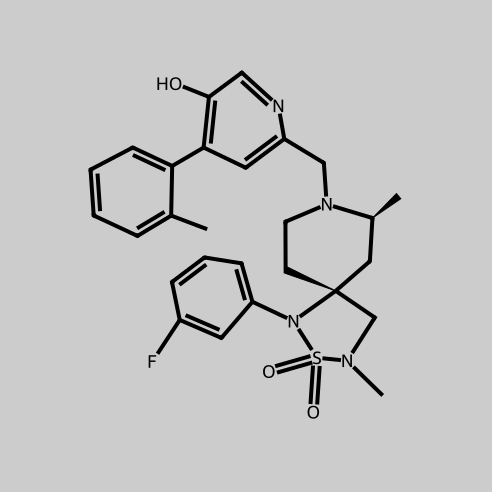 Cc1ccccc1-c1cc(CN2CC[C@@]3(C[C@@H]2C)CN(C)S(=O)(=O)N3c2cccc(F)c2)ncc1O